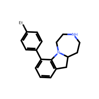 CCc1ccc(-c2cccc3c2N2CCNCCC2C3)cc1